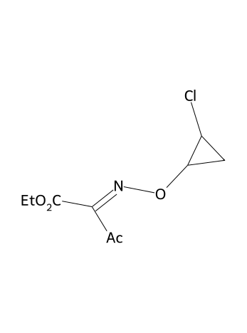 CCOC(=O)C(=NOC1CC1Cl)C(C)=O